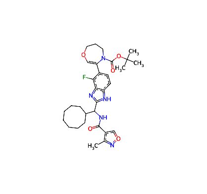 Cc1nocc1C(=O)NC(c1nc2c(F)c(C3=COCCCN3C(=O)OC(C)(C)C)ccc2[nH]1)C1CCCCCCC1